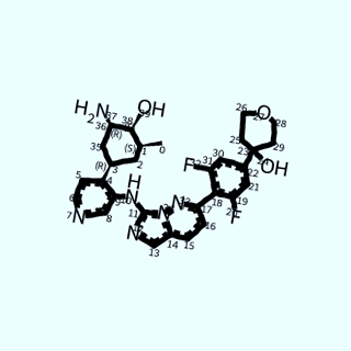 C[C@H]1C[C@@H](c2ccncc2Nc2ncc3ccc(-c4c(F)cc(C5(O)CCOCC5)cc4F)nn23)C[C@@H](N)[C@H]1O